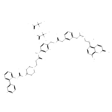 CC(Cc1cccc(CC(=O)NCc2ccc(N(C)C(=O)CCN3CCC(OC(=O)Nc4ccccc4-c4ccccc4)CC3)cc2)c1)NC[C@H](O)c1ccc(O)c2[nH]c(=O)ccc12.O=C(O)C(F)(F)F.O=C(O)C(F)(F)F